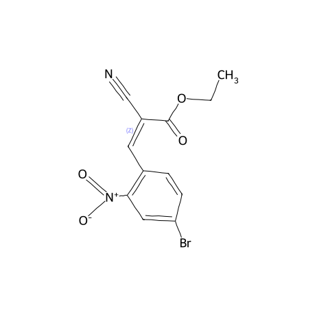 CCOC(=O)/C(C#N)=C\c1ccc(Br)cc1[N+](=O)[O-]